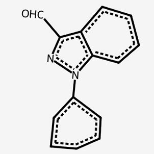 O=Cc1nn(-c2ccccc2)c2ccccc12